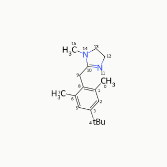 Cc1cc(C(C)(C)C)cc(C)c1CC1=NCCN1C